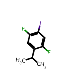 CC(C)c1cc(F)c(I)cc1F